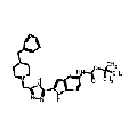 CC(C)(C)OC(=O)Nc1ccc2[nH]c(-c3nnc(CN4CCC(Cc5ccccc5)CC4)[nH]3)cc2c1